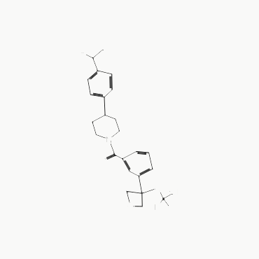 [2H]C([2H])([2H])OC1(c2cccc(C(=O)N3CCC(c4ccc(C(F)F)cc4)CC3)c2)COC1